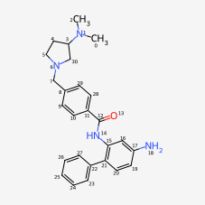 CN(C)C1CCN(Cc2ccc(C(=O)Nc3cc(N)ccc3-c3ccccc3)cc2)C1